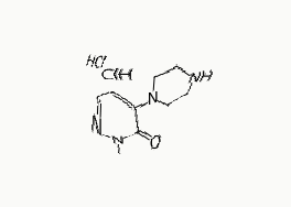 Cl.Cl.Cn1nccc(N2CCNCC2)c1=O